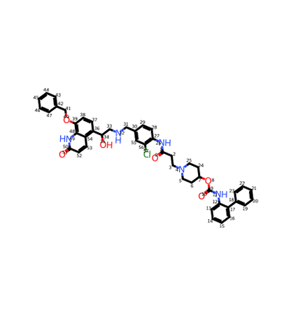 O=C(CCN1CCC(OC(=O)Nc2ccccc2-c2ccccc2)CC1)Nc1ccc(CNCC(O)c2ccc(OCc3ccccc3)c3[nH]c(=O)ccc23)cc1Cl